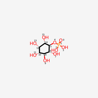 O=P(O)(O)O[C@H]1[C@H](O)[C@@H](O)[C@H](O)[C@H](O)[C@@H]1O